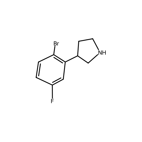 Fc1ccc(Br)c(C2CCNC2)c1